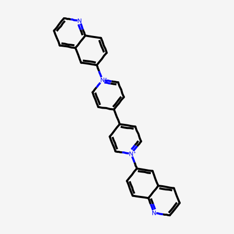 c1cnc2ccc(-[n+]3ccc(-c4cc[n+](-c5ccc6ncccc6c5)cc4)cc3)cc2c1